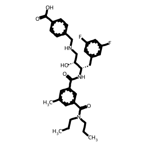 CCCN(CCC)C(=O)c1cc(C)cc(C(=O)N[C@@H](Cc2cc(F)cc(F)c2)[C@H](O)CNCc2ccc(C(=O)O)cc2)c1